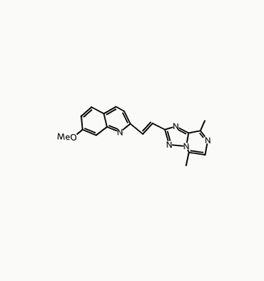 COc1ccc2ccc(/C=C/c3nc4c(C)ncc(C)n4n3)nc2c1